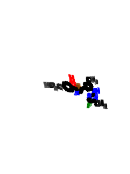 Cc1cc(Nc2ncc(F)c(C)n2)cc(-c2cnc([C@]3(O)CC[C@H](C(=O)O)CC3)s2)c1